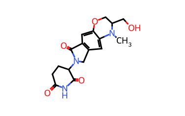 CN1c2cc3c(cc2OCC1CO)C(=O)N(C1CCC(=O)NC1=O)C3